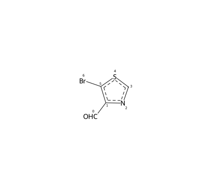 O=Cc1ncsc1Br